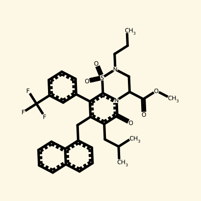 CCCN1CC(C(=O)OC)n2c(c(-c3cccc(C(F)(F)F)c3)c(Cc3cccc4ccccc34)c(CC(C)C)c2=O)S1(=O)=O